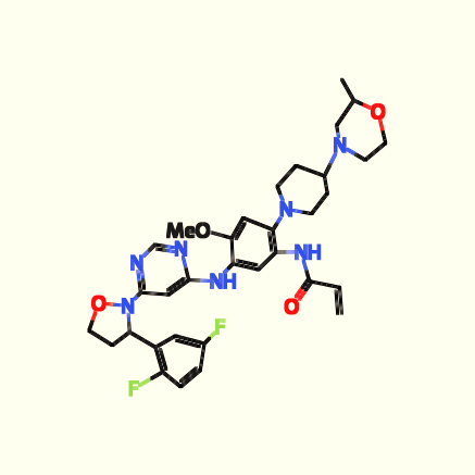 C=CC(=O)Nc1cc(Nc2cc(N3OCCC3c3cc(F)ccc3F)ncn2)c(OC)cc1N1CCC(N2CCOC(C)C2)CC1